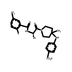 CC(C)[C@@H](NC(=O)c1cc(C(F)(F)F)ccc1F)C(=O)N1CCC(C)(Nc2ccc(C(=O)O)cc2)CC1